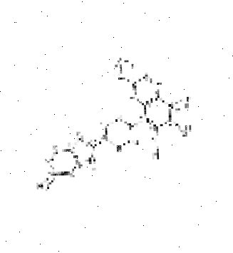 COc1ccc2c(c1)C(N1CCC(c3nc4ccc(C)cc4o3)CC1)=C(C#N)C(O)N2C